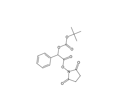 CC(C)(C)OC(=O)OC(C(=O)ON1C(=O)CCC1=O)c1ccccc1